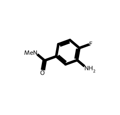 CNC(=O)c1ccc(F)c(N)c1